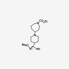 CCC/C(=N/OC)C1CCN(C2CCCN(C(=O)OCC)CC2)CC1